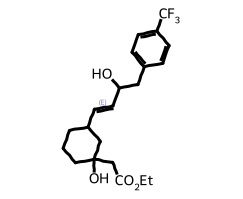 CCOC(=O)CC1(O)CCCC(/C=C/C(O)Cc2ccc(C(F)(F)F)cc2)C1